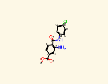 COC(=O)c1ccc(C(=O)Nc2ccc(Cl)cc2)c(N)c1